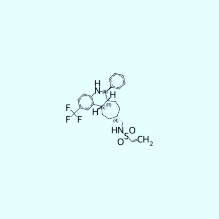 C=CS(=O)(=O)NC[C@H]1CC[C@@H]2[C@H](CC1)c1cc(C(F)(F)F)ccc1N[C@H]2c1ccccc1